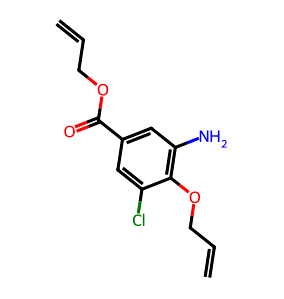 C=CCOC(=O)c1cc(N)c(OCC=C)c(Cl)c1